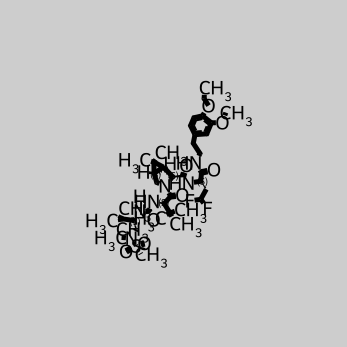 CCOc1ccc(CCNC(=O)[C@H](CC(F)F)NC(=O)[C@@H]2[C@@H]3[C@H](CN2C(=O)[C@@H](NC(=O)N[C@H](CN(C)S(C)(=O)=O)C(C)(C)C)C(C)(C)C)C3(C)C)cc1OC